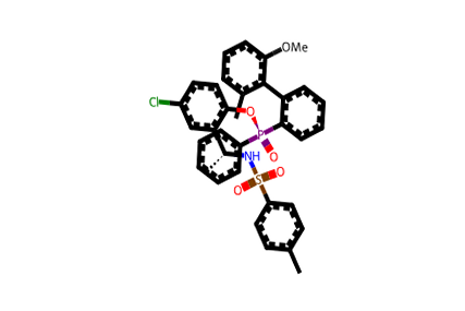 COc1cccc(C)c1-c1ccccc1[P@@](=O)(Oc1ccc(Cl)cc1[C@@H](C)NS(=O)(=O)c1ccc(C)cc1)c1ccccc1